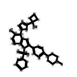 CN1CCN(c2ccc(-c3cc4c(-c5cnc(C6(O)CCC6)s5)c(Cl)cnc4n3S(=O)(=O)c3ccccc3)cn2)CC1